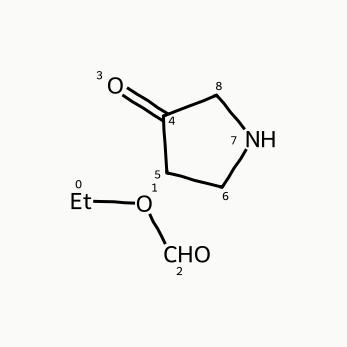 CCOC=O.O=C1CCNC1